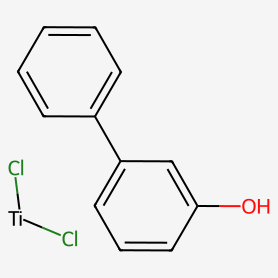 Oc1cccc(-c2ccccc2)c1.[Cl][Ti][Cl]